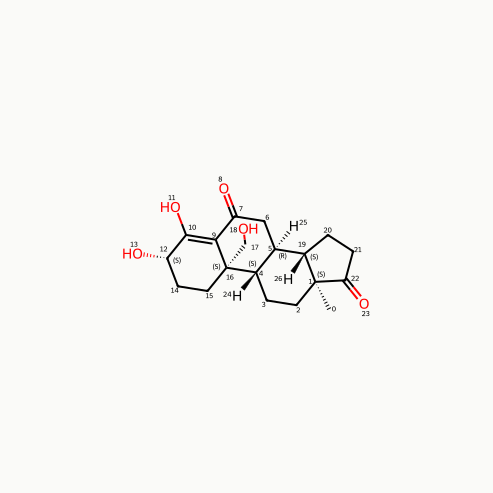 C[C@]12CC[C@H]3[C@@H](CC(=O)C4=C(O)[C@@H](O)CC[C@@]43CO)[C@@H]1CCC2=O